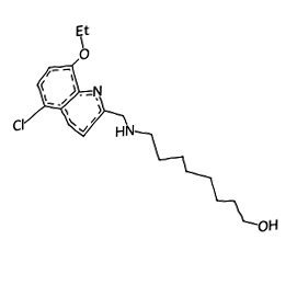 CCOc1ccc(Cl)c2ccc(CNCCCCCCCCO)nc12